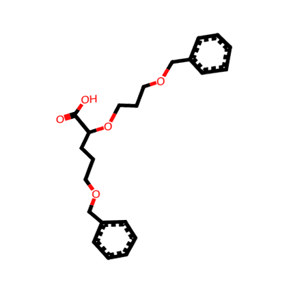 O=C(O)C(CCCOCc1ccccc1)OCCCOCc1ccccc1